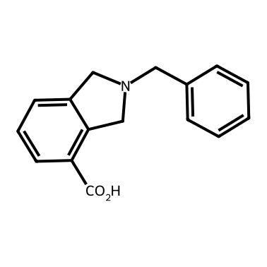 O=C(O)c1cccc2c1CN(Cc1ccccc1)C2